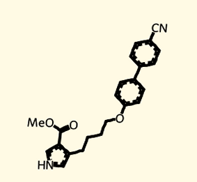 COC(=O)c1c[nH]cc1CCCCOc1ccc(-c2ccc(C#N)cc2)cc1